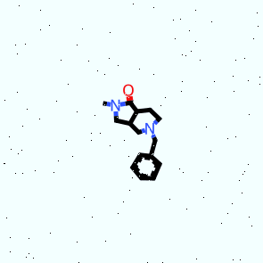 CN1CC2CN(Cc3ccccc3)CCC2C1=O